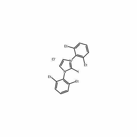 CCc1cccc(CC)c1-n1cc[n+](-c2c(CC)cccc2CC)c1I.[Cl-]